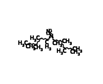 CC(C)=CCCC(C)=CCCC(C)=CCCC(C)=CCN(CC=C(C)CCC=C(C)CCC=C(C)CCC=C(C)C)CC12CCCN1CCC2